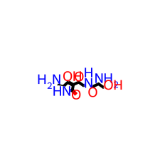 NC[C@@H]1NC(=O)C(C(=O)CNC(=O)[C@@H](N)CO)=C1O